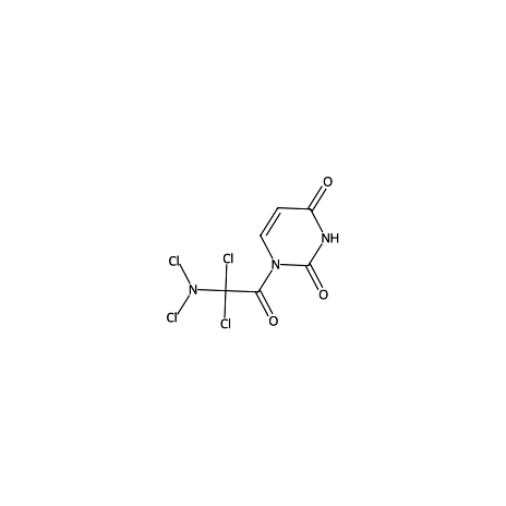 O=C(n1ccc(=O)[nH]c1=O)C(Cl)(Cl)N(Cl)Cl